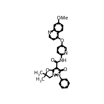 COc1ccc2c(Oc3ccc(NC(=O)c4c5n(n(-c6ccccc6)c4=O)CC(C)(C)O5)nc3)ccnc2c1